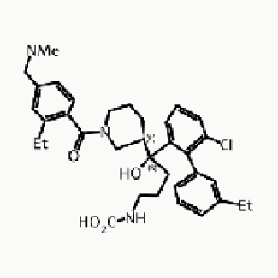 CCc1cccc(-c2c(Cl)cccc2[C@](O)(CCCNC(=O)O)[C@@H]2CCCN(C(=O)c3ccc(CNC)cc3CC)C2)c1